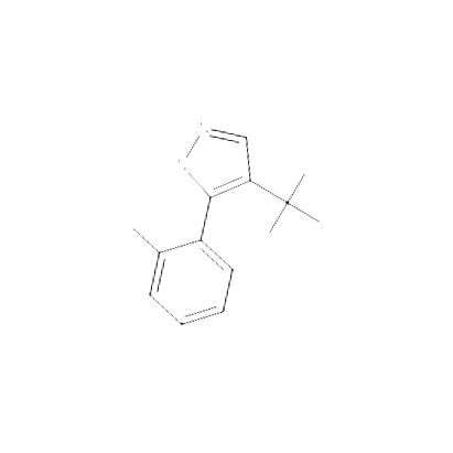 Fc1ccccc1-c1[nH]ncc1C(F)(F)F